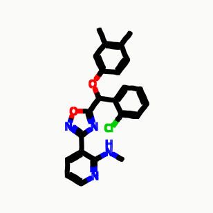 CNc1ncccc1-c1noc(C(Oc2ccc(C)c(C)c2)c2ccccc2Cl)n1